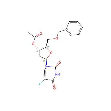 CC(=O)O[C@H]1C[C@H](n2cc(F)c(=O)[nH]c2=O)O[C@@H]1COCc1ccccc1